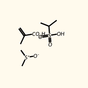 C=C(C)C(=O)O.CC(C)S(=O)(=O)O.C[S+](C)[O-]